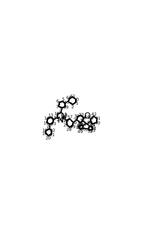 c1ccc(-c2cccc(-c3cc(-c4cccc(-c5ccccc5)c4)nc(-c4cccc(-c5ccc6c(c5)C5(c7ccccc7O6)c6ccccc6-c6ccccc65)c4)n3)c2)cc1